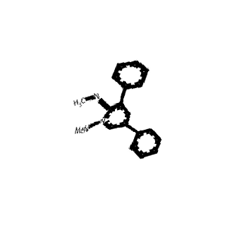 C/N=c1/c(-c2ccccc2)cc(-c2ccccc2)cn1NC